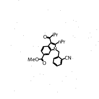 CCCc1c(C(=O)C(C)C)c2ccc(C(=O)OC)cc2n1Cc1ccccc1C#N